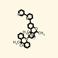 C=C(/C=C\C1=C(C)Oc2cc(-c3cccc(-c4cccnc4)n3)ccc2C1(C)C)N1c2ccccc2C(C)(C)c2ccccc21